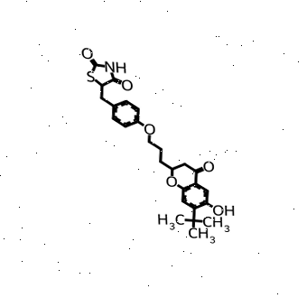 CC(C)(C)c1cc2c(cc1O)C(=O)CC(CCCOc1ccc(CC3SC(=O)NC3=O)cc1)O2